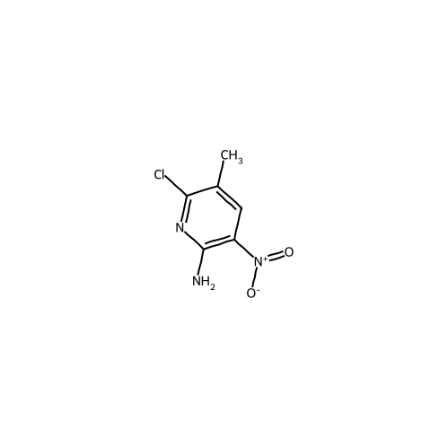 Cc1cc([N+](=O)[O-])c(N)nc1Cl